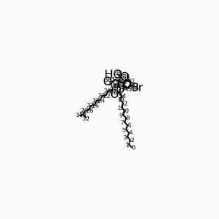 CCCCCCCCCCCCCCCC(=O)O[C@H](CCCCCCCCCCCC(C)C)C(CC=O)(C(=O)O)c1ccc(Br)cc1